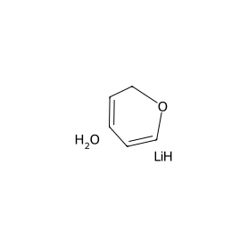 C1=CCOC=C1.O.[LiH]